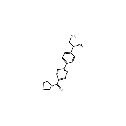 CC(CN)c1ccc(-c2ccc(C(=O)N3CCCC3)cn2)cc1